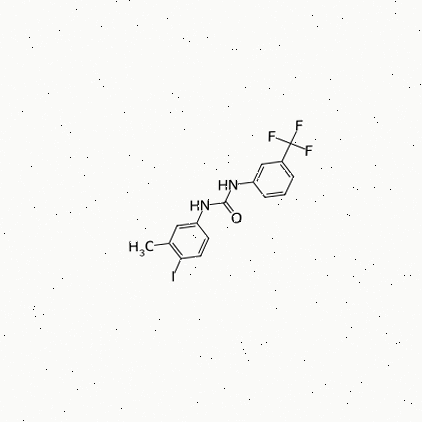 Cc1cc(NC(=O)Nc2cccc(C(F)(F)F)c2)ccc1I